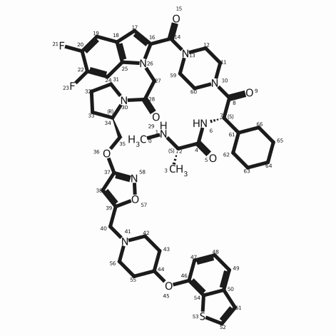 CN[C@@H](C)C(=O)N[C@H](C(=O)N1CCN(C(=O)c2cc3cc(F)c(F)cc3n2CC(=O)N2CCC[C@@H]2COc2cc(CN3CCC(Oc4cccc5ccsc45)CC3)on2)CC1)C1CCCCC1